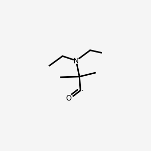 CCN(CC)C(C)(C)[C]=O